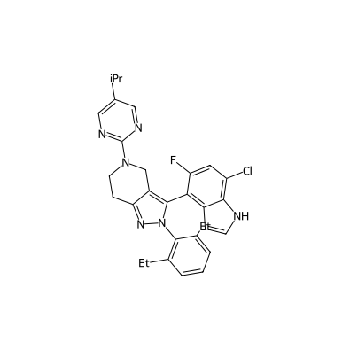 CCc1cccc(CC)c1-n1nc2c(c1-c1c(F)cc(Cl)c3[nH]ccc13)CN(c1ncc(C(C)C)cn1)CC2